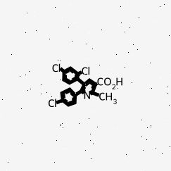 Cc1nc(-c2ccc(Cl)cc2)c(-c2ccc(Cl)cc2Cl)cc1C(=O)O